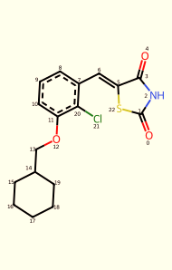 O=C1NC(=O)C(=Cc2cccc(OCC3CCCCC3)c2Cl)S1